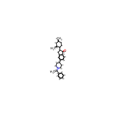 C=C1CCC(C2Cc3cc(C4CCN(C(C)c5ccccc5)CC4)ccc3C2=O)C(=C)C1